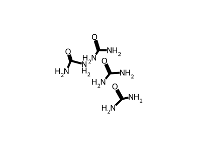 NC(N)=O.NC(N)=O.NC(N)=O.NC(N)=O